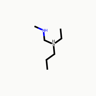 CCC[SiH](CC)CNC